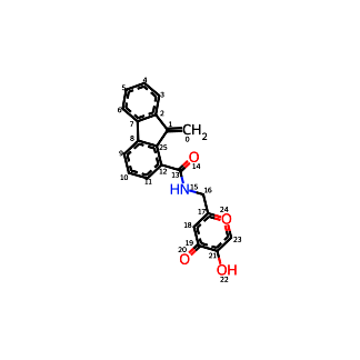 C=C1c2ccccc2-c2cccc(C(=O)NCc3cc(=O)c(O)co3)c21